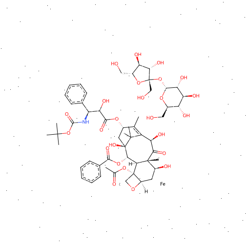 CC(=O)O[C@@]12CO[C@@H]1C[C@H](O)[C@@]1(C)C(=O)[C@H](O)C3=C(C)[C@@H](OC(=O)C(O)[C@@H](NC(=O)OC(C)(C)C)c4ccccc4)C[C@@](O)([C@@H](OC(=O)c4ccccc4)[C@H]21)C3(C)C.OC[C@H]1O[C@@](CO)(O[C@H]2O[C@H](CO)[C@@H](O)[C@H](O)[C@H]2O)[C@@H](O)[C@@H]1O.[Fe]